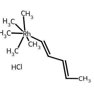 CC=CC=[CH][Rh]([CH3])([CH3])([CH3])([CH3])[CH3].Cl